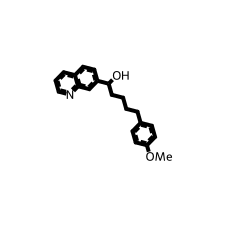 COc1ccc(CCCCC(O)c2ccc3cccnc3c2)cc1